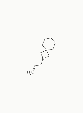 C=CCN1CC2(CCCCC2)C1